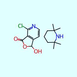 CC1(C)CCCC(C)(C)N1.O=C1OC(O)c2ccnc(Cl)c21